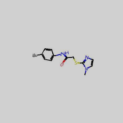 CCC(C)c1ccc(NC(=O)CSc2nccn2C)cc1